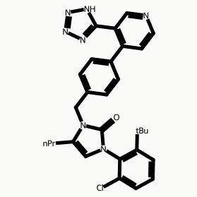 CCCc1cn(-c2c(Cl)cccc2C(C)(C)C)c(=O)n1Cc1ccc(-c2ccncc2-c2nnn[nH]2)cc1